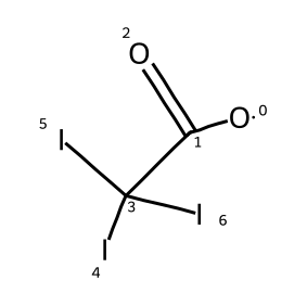 [O]C(=O)C(I)(I)I